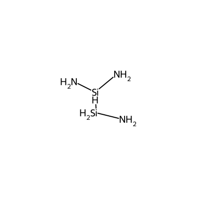 N[SiH2][SiH](N)N